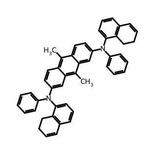 Cc1c2ccc(N(c3ccccc3)c3cccc4c3CCC=C4)cc2c(C)c2cc(N(c3ccccc3)c3cccc4c3CCC=C4)ccc12